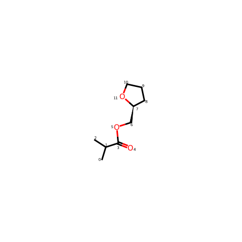 CC(C)C(=O)OC[C@@H]1CCCO1